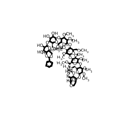 COCC1O[C@@H](O[C@H]2C(OC)C(OC)[C@@H](O[C@H]3C(OC)C(OC)[C@H](O[C@H]4C5CO[C@H](O5)C(N=[N+]=[N-])[C@@H]4OC)O[C@H]3COC)O[C@H]2COC)C(OC)[C@@H](OC)[C@@H]1O[C@@H]1OC(CO)[C@@H](O[C@@H]2O[C@@H](CO)[C@@H](O[C@H]3O[C@H]4COC(c5ccccc5)O[C@H]4C(O)C3O)C(O)C2O)[C@H](OC)C1OC